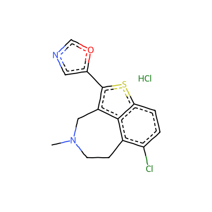 CN1CCc2c(Cl)ccc3sc(-c4cnco4)c(c23)C1.Cl